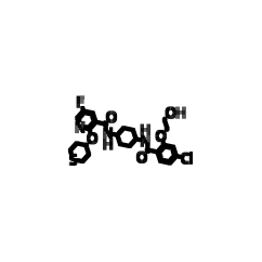 O=C(NC1CCC(NC(=O)c2cc(F)cnc2OC2CCSCC2)CC1)c1ccc(Cl)cc1OCCO